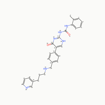 Cc1ccccc1NC(=O)Nc1nc(=O)c(-c2ccc(CNCCCc3cccnc3)cc2)c[nH]1